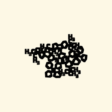 CC(C)(C)c1ccc(-c2ccc(N3c4cc([Si](c5ccccc5)(c5ccccc5)c5ccccc5)ccc4B4c5cc(C(C)(C)C)ccc5N(c5cccc([Si](c6ccccc6)(c6ccccc6)c6ccccc6)c5)c5cc(-n6c7cc(C(C)(C)C)ccc7c7ccc(C(C)(C)C)cc76)cc3c54)cc2)cc1